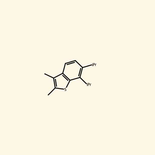 Cc1sc2c(C(C)C)c(C(C)C)ccc2c1C